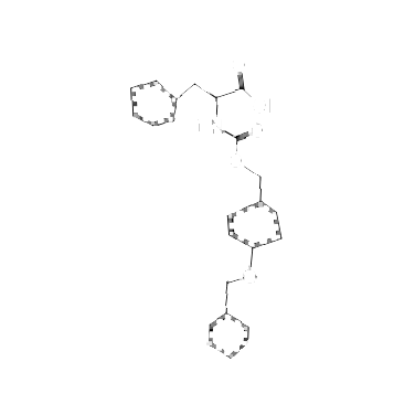 O=C(NC(Cc1ccccc1)C(=O)O)OCc1ccc(OCc2ccccc2)cc1